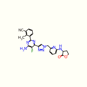 Cc1c(C#N)cccc1-c1nc(N)c(F)c(-c2cn(Cc3cccc(NC4CCOC4=O)n3)nn2)n1